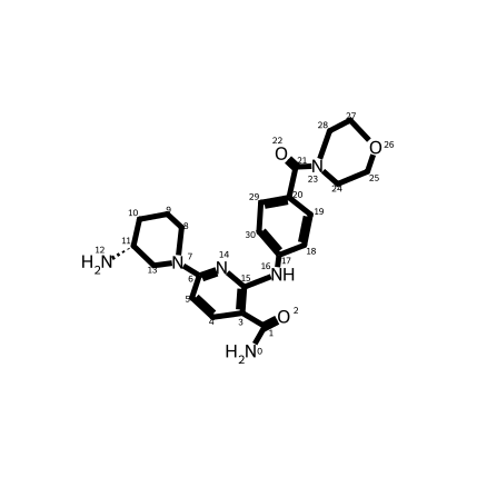 NC(=O)c1ccc(N2CCC[C@@H](N)C2)nc1Nc1ccc(C(=O)N2CCOCC2)cc1